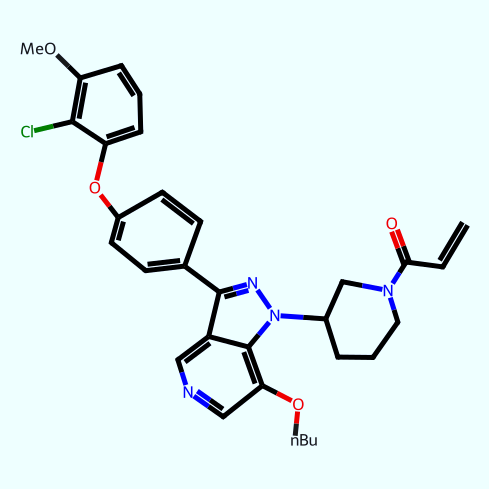 C=CC(=O)N1CCCC(n2nc(-c3ccc(Oc4cccc(OC)c4Cl)cc3)c3cncc(OCCCC)c32)C1